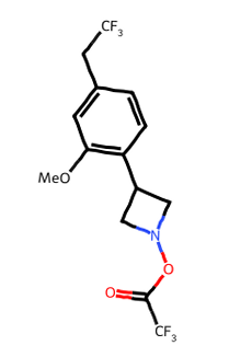 COc1cc(CC(F)(F)F)ccc1C1CN(OC(=O)C(F)(F)F)C1